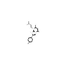 Cc1cc(=O)n2cc(-c3ccc(Cl)cc3)nc2n1CCC(C)C